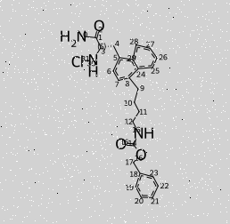 NC(=O)[C@H](Cc1ccc(CCCCNC(=O)OCc2ccccc2)c2ccccc12)NCl